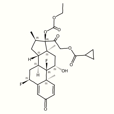 CCOC(=O)O[C@]1(C(=O)COC(=O)C2CC2)[C@H](C)C[C@H]2[C@@H]3C[C@H](F)C4=CC(=O)C=C[C@]4(C)[C@@]3(F)[C@@H](O)C[C@@]21C